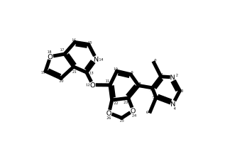 Cc1ncnc(C)c1-c1ccc(Oc2nccc3occc23)c2c1OCO2